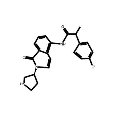 CC(C(=O)Nc1cccc2c(=O)n([C@H]3CCNC3)ccc12)c1ccc(Cl)cc1